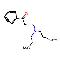 COCCN(CCOC)CCC(=O)c1ccccc1